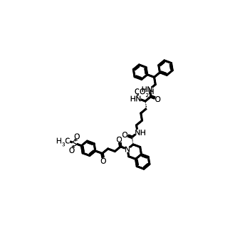 CS(=O)(=O)c1ccc(C(=O)CCC(=O)N2Cc3ccccc3C[C@H]2C(=O)NCCCC[C@H](NC(=O)O)C(=O)NCC(c2ccccc2)c2ccccc2)cc1